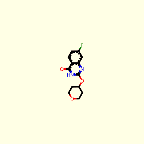 O=c1[nH]c(OC2CCOCC2)nc2cc(F)ccc12